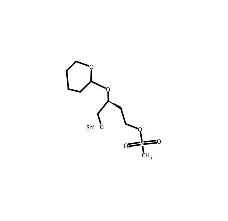 CS(=O)(=O)OCC[C@@H](CCl)OC1CCCCO1.[Sn]